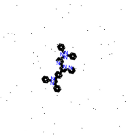 c1ccc(-c2cc(-c3ccc(-c4cc(-c5ccccn5)nc(-c5cc(-c6nc(-c7ccccc7)nc(-c7ccccc7)n6)ccn5)c4)cc3)nc(-c3ccccc3)n2)cc1